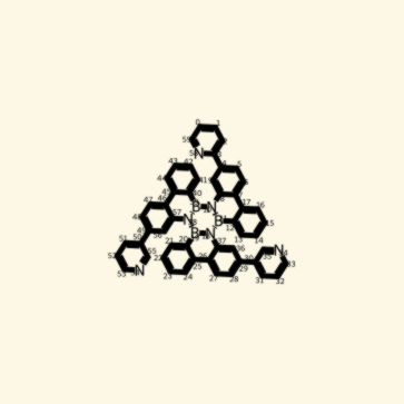 c1ccc(-c2ccc3c(c2)N2B(c4ccccc4-3)N3B(c4ccccc4-c4ccc(-c5cccnc5)cc43)N3B2c2ccccc2-c2ccc(-c4cccnc4)cc23)nc1